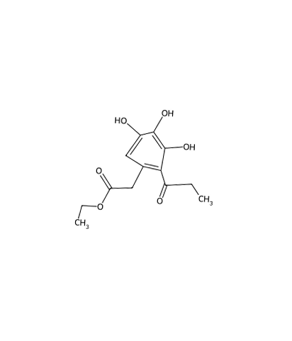 CCOC(=O)Cc1cc(O)c(O)c(O)c1C(=O)CC